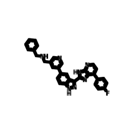 Fc1ccc(-c2ccnc3[nH]c(-c4n[nH]c5ccc(-c6cncc(CNCc7ccccc7)c6)cc45)nc23)cc1